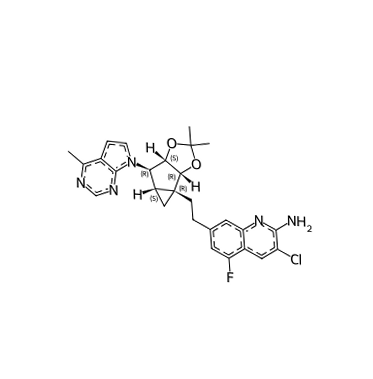 Cc1ncnc2c1ccn2[C@H]1[C@@H]2OC(C)(C)O[C@@H]2[C@]2(CCc3cc(F)c4cc(Cl)c(N)nc4c3)C[C@H]12